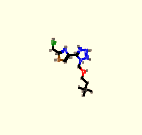 C[Si](C)(C)CCOCn1nnnc1-c1csc(CBr)n1